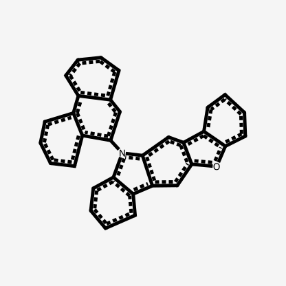 c1ccc2c(c1)cc(-n1c3ccccc3c3cc4oc5ccccc5c4cc31)c1ccccc12